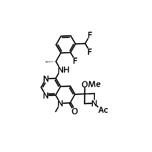 COC1(c2cc3c(N[C@H](C)c4cccc(C(F)F)c4F)ncnc3n(C)c2=O)CN(C(C)=O)C1